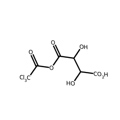 O=C(O)C(O)C(O)C(=O)OC(=O)C(Cl)(Cl)Cl